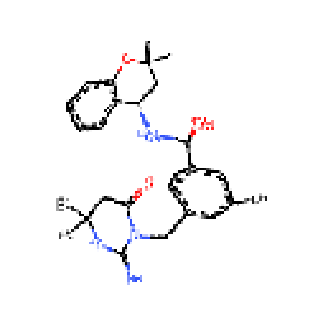 CCC1(CC)CC(=O)N(Cc2cc(C#N)cc(C(O)N[C@@H]3CC(C)(C)Oc4ccccc43)c2)C(=N)N1